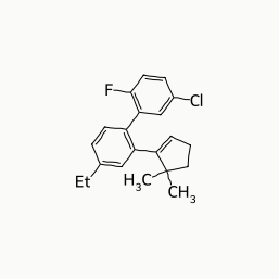 CCc1ccc(-c2cc(Cl)ccc2F)c(C2=CCCC2(C)C)c1